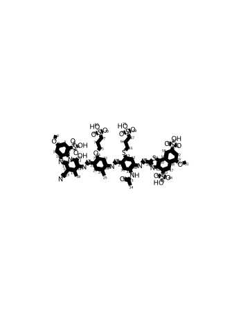 COc1cc(S(=O)(=O)O)c2c(c1)nc1c(C#N)c(C)c(N=Nc3cc(C)c(N=Nc4cc(NC(C)=O)c(N=Nc5nc6c(S(=O)(=O)O)cc7c(OC)cc(S(=O)(=O)O)cc7c6s5)cc4SCCCS(=O)(=O)O)cc3OCCCS(=O)(=O)O)c(O)n12